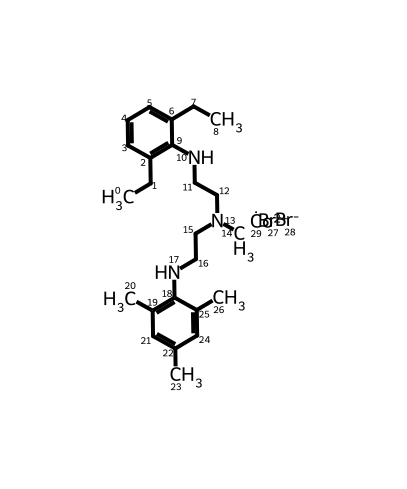 CCc1cccc(CC)c1NCCN(C)CCNc1c(C)cc(C)cc1C.[Br-].[Br-].[Co+2]